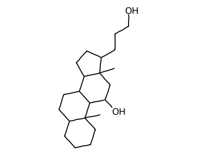 CC12CC(O)C3C(CCC4CCCCC43C)C1CCC2CCCO